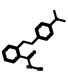 CN(C)c1ccc(CCc2ccccc2C(=O)NO)cc1